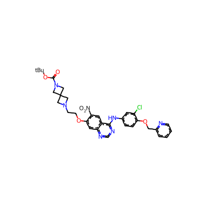 CC(C)(C)OC(=O)N1CC2(CN(CCOc3cc4ncnc(Nc5ccc(OCc6ccccn6)c(Cl)c5)c4cc3[N+](=O)[O-])C2)C1